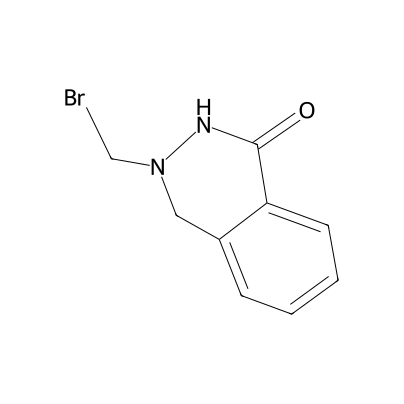 O=C1NN(CBr)Cc2ccccc21